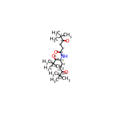 CC(C)(C)C(=O)CCC(=O)NC(CCC(=O)C(C)(C)C)C(=O)C(C)(C)C